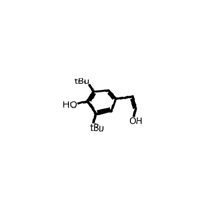 CC(C)(C)c1cc(/C=C\O)cc(C(C)(C)C)c1O